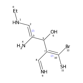 CCN/C=C(\N)C(O)/C(C=N)=C(/S)Br